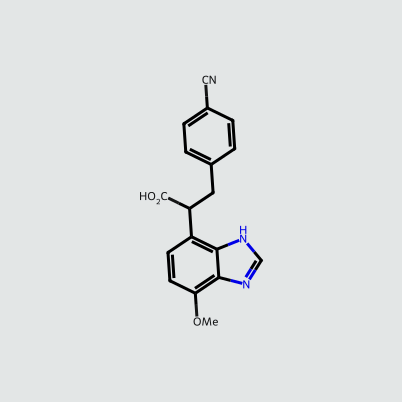 COc1ccc(C(Cc2ccc(C#N)cc2)C(=O)O)c2[nH]cnc12